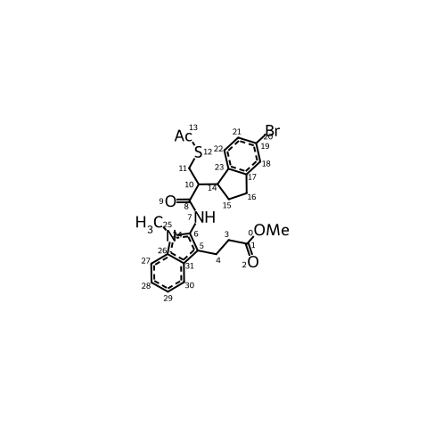 COC(=O)CCc1c(NC(=O)C(CSC(C)=O)C2CCc3cc(Br)ccc32)n(C)c2ccccc12